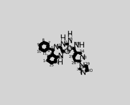 N=C(NC1N=C(c2ccccc2)c2ccccc2NC1=O)OC(=N)C1=CCC(n2ccnc2)N=C1